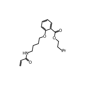 C=CC(=O)NCCCCOc1ccccc1C(=O)OCCC(C)C